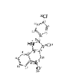 O=c1c2c([nH]n1-c1ccc(Cl)cc1)-c1ccccc1[S+]([O-])C2